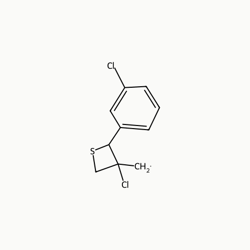 [CH2]C1(Cl)CSC1c1cccc(Cl)c1